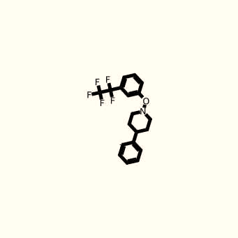 FC(F)(F)C(F)(F)c1cccc(ON2CCC(c3[c]cccc3)CC2)c1